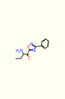 CCC(N)C(=O)c1nc(-c2ccccc2)no1